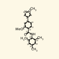 COc1cc(-c2cnn(C)c2)ccc1C(=O)Nc1c(C)cc(C)cc1C